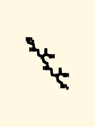 NCCNCCN(CCNCCN(CCN)C(=S)S)C(=S)S